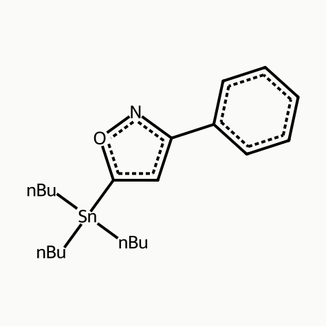 CCC[CH2][Sn]([CH2]CCC)([CH2]CCC)[c]1cc(-c2ccccc2)no1